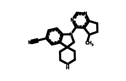 CC1CCc2ncnc(N3CC4(CCNCC4)c4cc(C#N)ccc43)c21